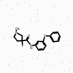 N#CN1CCC(F)(C(=O)Nc2cccc(Oc3ccccc3)c2)C1